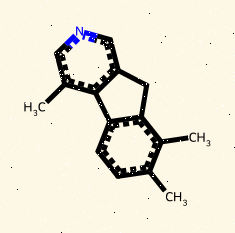 Cc1ccc2c(c1C)Cc1cncc(C)c1-2